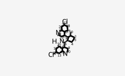 [CH2]c1cccc(C(N)c2ccnc3cc(Cl)ccc23)c1-c1ccnc2cc(Cl)ccc12